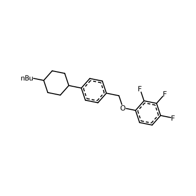 CCCCC1CCC(c2ccc(COc3ccc(F)c(F)c3F)cc2)CC1